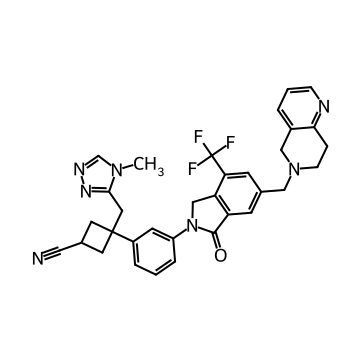 Cn1cnnc1CC1(c2cccc(N3Cc4c(cc(CN5CCc6ncccc6C5)cc4C(F)(F)F)C3=O)c2)CC(C#N)C1